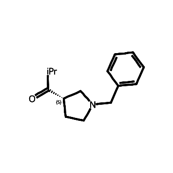 CC(C)C(=O)[C@H]1CCN(Cc2ccccc2)C1